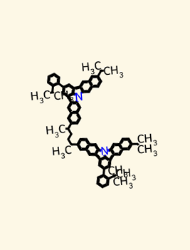 CC(C)c1ccc2cc3c(cc2c1)c1cc(-c2ccccc2C(C)C)cc2c4cc5cc(C(C)CCC(C)c6ccc7cc8c(cc7c6)c6cc(-c7ccccc7C(C)(C)C)cc7c9cc%10cc(C(C)C)ccc%10cc9n8c76)ccc5cc4n3c12